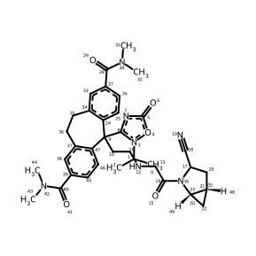 CC(C)n1oc(=O)nc1C1(CCNCC(=O)N2C(C#N)C[C@@H]3C[C@@H]32)c2ccc(C(=O)N(C)C)cc2CCc2cc(C(=O)N(C)C)ccc21